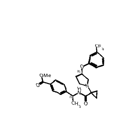 COC(=O)c1ccc([C@H](C)NC(=O)C2(N3CC[C@@H](Oc4cccc(C(F)(F)F)c4)C3)CC2)cc1